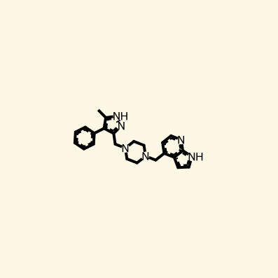 Cc1[nH]nc(CN2CCN(Cc3ccnc4[nH]ccc34)CC2)c1-c1ccccc1